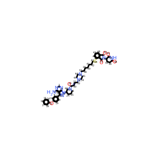 Nc1ncnc2c1c(-c1ccc(Oc3ccccc3)cc1)nn2C1CCCN(C(=O)/C=C/CN2CCN(CCCCCCCSc3cccc4c3C(=O)N(C3CCC(=O)NC3=O)C4=O)CC2)C1